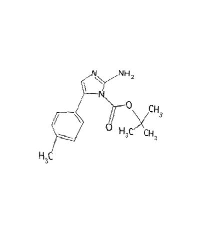 Cc1ccc(-c2cnc(N)n2C(=O)OC(C)(C)C)cc1